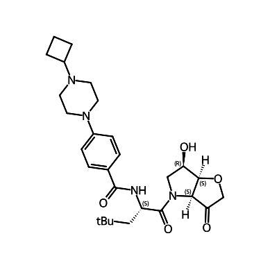 CC(C)(C)C[C@H](NC(=O)c1ccc(N2CCN(C3CCC3)CC2)cc1)C(=O)N1C[C@@H](O)[C@H]2OCC(=O)[C@H]21